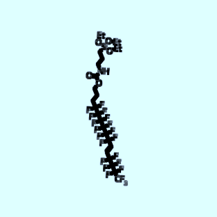 CCO[Si](CCCNC(=O)OCCCC(F)(F)C(F)(F)C(F)(F)C(F)(F)C(F)(F)C(F)(F)/C=C/C(F)(F)C(F)(F)C(F)(F)C(F)(F)F)(OCC)OCC